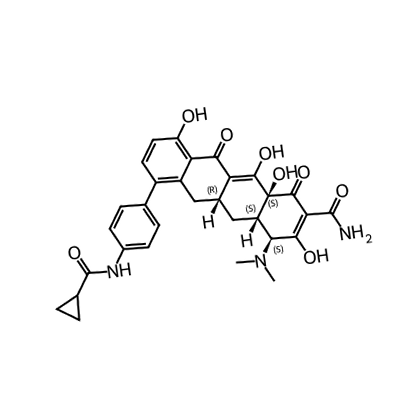 CN(C)[C@@H]1C(O)=C(C(N)=O)C(=O)[C@@]2(O)C(O)=C3C(=O)c4c(O)ccc(-c5ccc(NC(=O)C6CC6)cc5)c4C[C@H]3C[C@@H]12